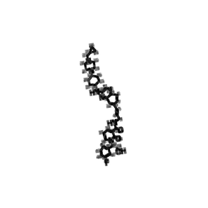 O=C(NCC#Cc1ccc2ncc(NC3CCC(N4CCN(CC5CC5)CC4)CC3)nc2c1)c1cccn([C@H](CO)c2cccc(F)c2)c1=O